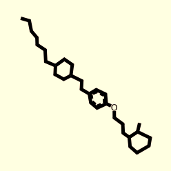 CCCCCCCC1CCC(CCc2ccc(OCCCC3CCCCC3C)cc2)CC1